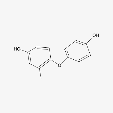 Cc1cc(O)ccc1Oc1ccc(O)cc1